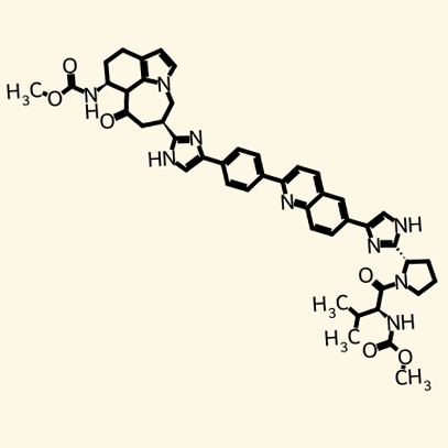 COC(=O)N[C@H]1CCc2ccn3c2C1C(=O)C[C@H](c1nc(-c2ccc(-c4ccc5cc(-c6c[nH]c([C@@H]7CCCN7C(=O)[C@@H](NC(=O)OC)C(C)C)n6)ccc5n4)cc2)c[nH]1)C3